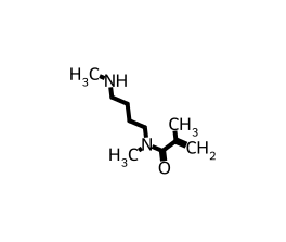 C=C(C)C(=O)N(C)CCCCNC